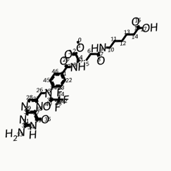 COC(=O)[C@H](CCC(=O)NCCCCCC(=O)O)NC(=O)c1ccc(N(Cc2cnc3nc(N)[nH]c(=O)c3n2)C(=O)C(F)(F)F)cc1